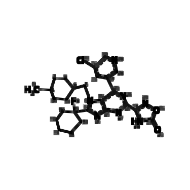 CC1CCC(Cn2c(C3(F)CCCCC3)nc3nc(-c4noc(=O)[nH]4)nc(-c4cncc(Cl)c4)c32)CC1